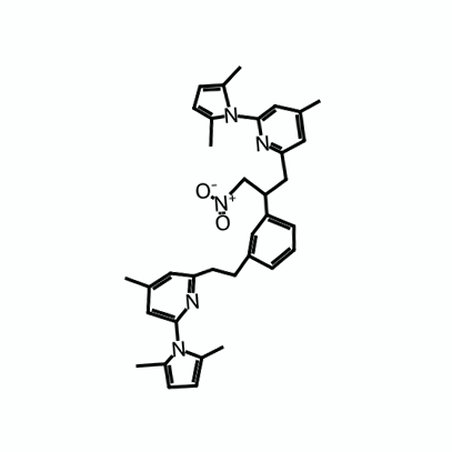 Cc1cc(CCc2cccc(C(Cc3cc(C)cc(-n4c(C)ccc4C)n3)C[N+](=O)[O-])c2)nc(-n2c(C)ccc2C)c1